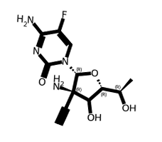 C#C[C@@]1(N)C(O)[C@@H]([C@@H](C)O)O[C@H]1n1cc(F)c(N)nc1=O